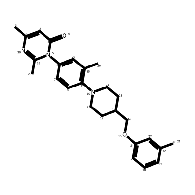 Cc1cc(=O)n(-c2ccc(N3CCC(COc4cccc(F)c4)CC3)c(C)c2)c(C)n1